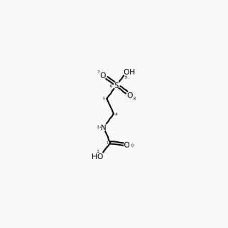 O=C(O)[N]CCS(=O)(=O)O